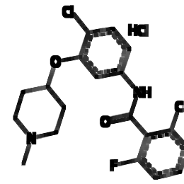 CN1CCC(Oc2cc(NC(=O)c3c(F)cccc3Cl)ccc2Cl)CC1.Cl